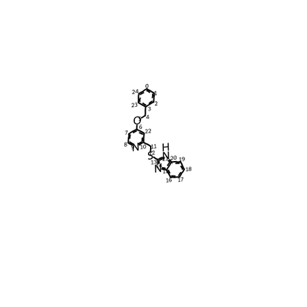 c1ccc(COc2ccnc(CSc3nc4ccccc4[nH]3)c2)cc1